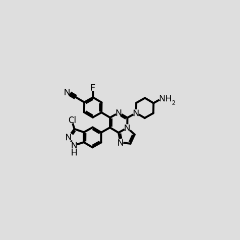 N#Cc1ccc(-c2nc(N3CCC(N)CC3)n3ccnc3c2-c2ccc3[nH]nc(Cl)c3c2)cc1F